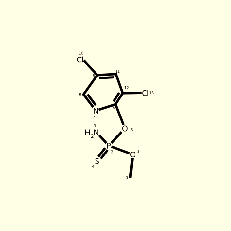 COP(N)(=S)Oc1ncc(Cl)cc1Cl